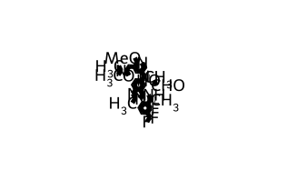 COc1ncc(N(C)c2ccc3nc(C)nc(N[C@H](C)c4cccc(C(F)F)c4F)c3c2)cc1CC(=O)N(C)C.O=CO